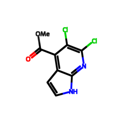 COC(=O)c1c(Cl)c(Cl)nc2[nH]ccc12